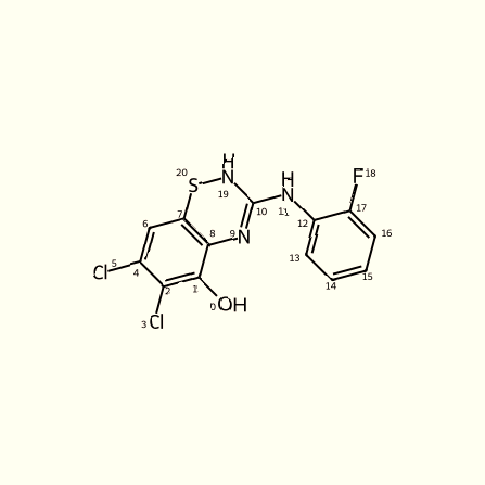 Oc1c(Cl)c(Cl)cc2c1N=C(Nc1ccccc1F)NS2